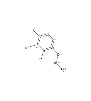 Cc1ccc(OBO)c(C)c1F